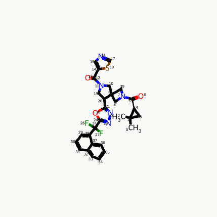 CC1(C)C[C@@H]1C(=O)N1CC2(CN(C(=O)c3cncs3)CC2c2nnc(C(F)(F)c3cccc4ccccc34)o2)C1